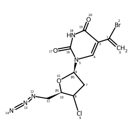 C=C(Br)c1cn([C@H]2CC(Cl)[C@@H](CN=[N+]=[N-])O2)c(=O)[nH]c1=O